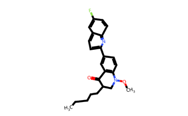 CCCCCC1CN(OC)c2ccc(-c3ccc4cc(F)ccc4n3)cc2C1=O